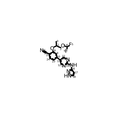 CC(COC(F)F)Oc1cc(-c2cnc(Nc3cc[nH]n3)nc2)ccc1C#N